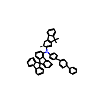 C[C@H]1CC2=C(C=C1N(c1ccc(-c3ccc(-c4ccccc4)cc3)cc1)c1cccc3c1-c1ccccc1C31c3ccccc3-c3ccccc31)C(C)(C)c1ccccc12